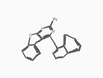 CC(C)c1nc(-c2cccc3ccccc23)c2c(n1)oc1ccccc12